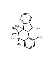 Cc1cccc2c1N1[C@@H](C)c3cccnc3C1(C)C(C)(C)C2(C)C